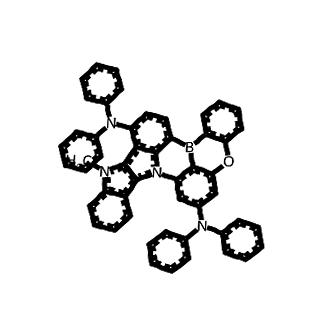 Cn1c2ccccc2c2c1c1c(N(c3ccccc3)c3ccccc3)ccc3c1n2-c1cc(N(c2ccccc2)c2ccccc2)cc2c1B3c1ccccc1O2